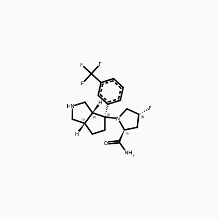 NC(=O)[C@@H]1C[C@@H](F)CN1[C@@]1(c2cccc(C(F)(F)F)c2)CC[C@@H]2CNC[C@@H]21